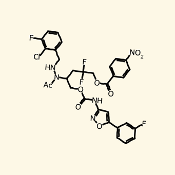 CC(=O)N(NCc1cccc(F)c1Cl)C(COC(=O)Nc1cc(-c2cccc(F)c2)on1)CC(F)(F)COC(=O)c1ccc([N+](=O)[O-])cc1